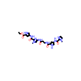 CCOC(=O)c1cc(NC(=O)c2nc(NC(=O)CCNC(=O)c3cc(NC(=O)c4nccn4C)c[nH]3)cn2C)c[nH]1